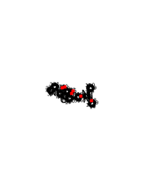 c1ccc(-c2nc(-c3ccccc3)nc(-c3ccc(-c4ccc5c(c4)C4(c6cc(-c7cccc8cccnc78)ccc6O5)c5ccccc5-c5ccccc54)cc3)n2)cc1